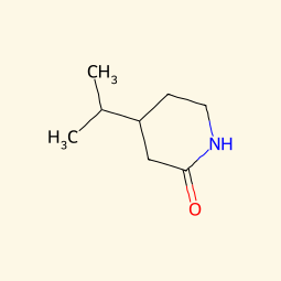 CC(C)C1CCNC(=O)C1